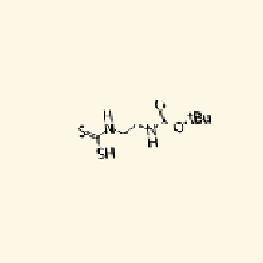 CC(C)(C)OC(=O)NCCNC(=S)S